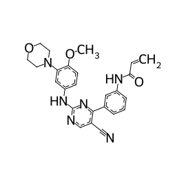 C=CC(=O)Nc1cccc(-c2nc(Nc3ccc(OC)c(N4CCOCC4)c3)ncc2C#N)c1